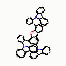 c1ccc(-n2c3ccccc3c3ccccc32)c(-c2cccc3c2oc2c(-c4ccccc4-n4c5ccccc5c5ccccc54)cc(-n4c5ccccc5c5ccccc54)cc23)c1